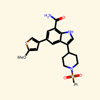 COc1cc(-c2cc(C(N)=O)c3[nH]cc(C4CCN(S(=O)(=O)C(C)C)CC4)c3c2)cs1